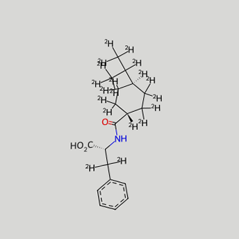 [2H]C([2H])(c1ccccc1)[C@@H](NC(=O)[C@]1([2H])C([2H])([2H])C([2H])([2H])[C@@]([2H])(C([2H])(C([2H])([2H])[2H])C([2H])([2H])[2H])C([2H])([2H])C1([2H])[2H])C(=O)O